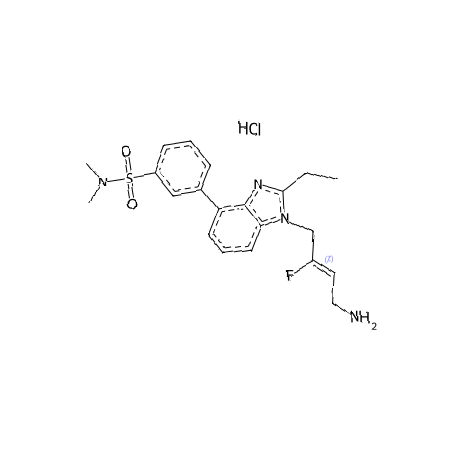 CCc1nc2c(-c3cccc(S(=O)(=O)N(C)C)c3)cccc2n1C/C(F)=C/CN.Cl